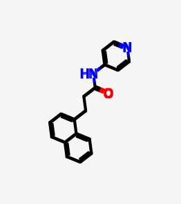 O=C(CCc1cccc2ccccc12)Nc1ccncc1